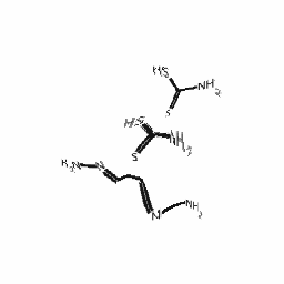 NC(=S)S.NC(=S)S.NN=CC=NN